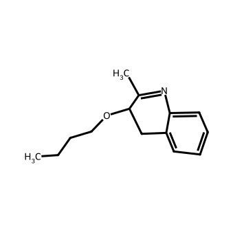 CCCCOC1Cc2ccccc2N=C1C